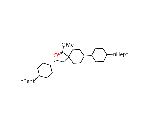 CCCCCCCC1CCC(C2CCC(CC[C@H]3CC[C@H](CCCCC)CC3)(C(=O)OC)CC2)CC1